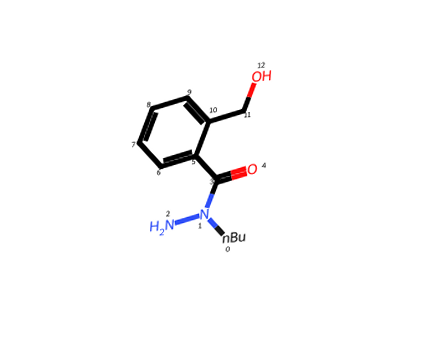 CCCCN(N)C(=O)c1ccccc1CO